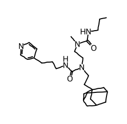 CCCNC(=O)N(C)CCN(CCC12CC3CC(CC(C3)C1)C2)C(=O)NCCCc1ccncc1